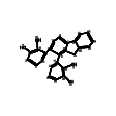 Oc1cccc(-c2ccc3c(c2-c2cccc(O)c2O)Cc2ccccc2-3)c1O